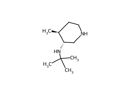 C[C@H]1CCNC[C@@H]1NC(C)(C)C